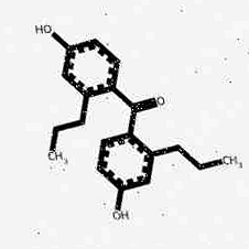 CCCc1cc(O)ccc1C(=O)c1ccc(O)cc1CCC